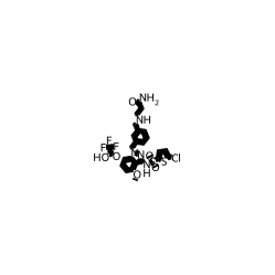 COc1cccc2c1c(NS(=O)(=O)c1ccc(Cl)s1)nn2Cc1cccc(CNCCC(N)=O)c1.O=C(O)C(F)(F)F